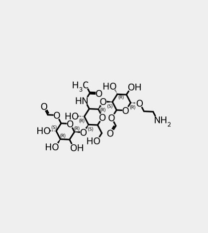 CC(=O)NC1[C@@H](O[C@@H]2C(OC=O)O[C@@H](OCCN)C(O)[C@H]2O)OC(CO)[C@@H](O[C@@H]2OC(OC=O)[C@@H](O)[C@H](O)C2O)[C@@H]1O